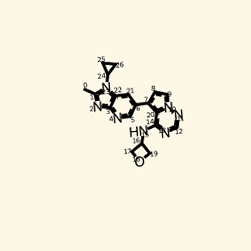 Cc1nc2ncc(-c3ccn4ncnc(NC5COC5)c34)cc2n1C1CC1